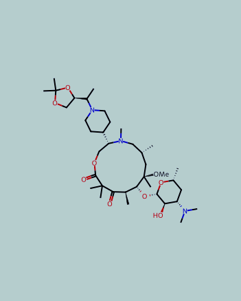 CO[C@]1(C)C[C@@H](C)CN(C)[C@@H](C2CCN(C(C)[C@H]3COC(C)(C)O3)CC2)COC(=O)C(C)(C)C(=O)[C@H](C)[C@H]1O[C@@H]1O[C@H](C)C[C@H](N(C)C)[C@H]1O